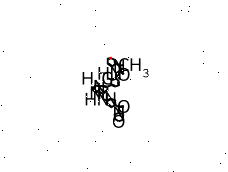 Cc1c(NC(=O)N(C)c2ccccc2)cccc1-c1cc(Nc2ccc(C(=O)N3CCOCC3)cn2)c2nccn2c1